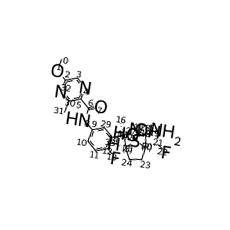 COc1cnc(C(=O)Nc2ccc(F)c([C@@]3(C)N=C(N)[C@@]4(CF)CC[C@@H]3S4(O)O)c2)c(C)n1